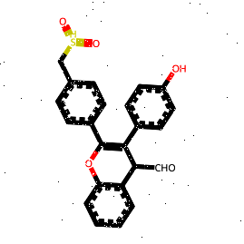 O=CC1C(c2ccc(O)cc2)=C(c2ccc(C[SH](=O)=O)cc2)Oc2ccccc21